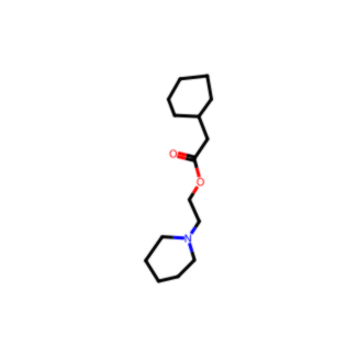 O=C(CC1CCCCC1)OCCN1CCCCC1